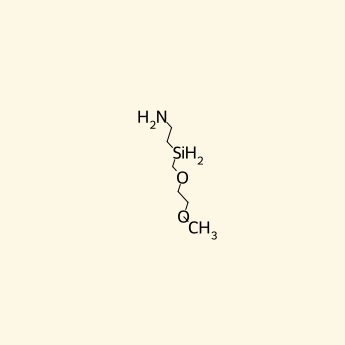 COCCOC[SiH2]CCN